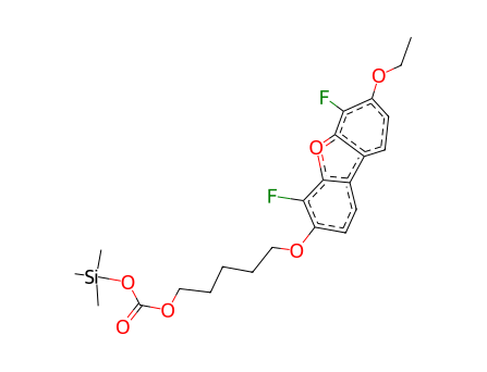 CCOc1ccc2c(oc3c(F)c(OCCCCCOC(=O)O[Si](C)(C)C)ccc32)c1F